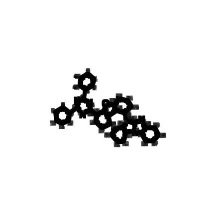 c1ccc(-c2nc(-c3ccccc3)nc(-c3cccc4c3oc3cccc(-n5c6ccccc6n6c7ccccc7nc56)c34)n2)cc1